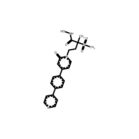 CC(CCn1ccc(-c2ccc(-c3ccncc3)cc2)cc1=O)(C(=O)NO)S(C)(=O)=O